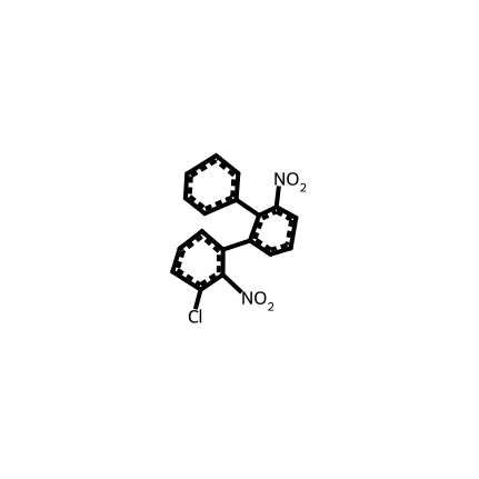 O=[N+]([O-])c1cccc(-c2cccc(Cl)c2[N+](=O)[O-])c1-c1ccccc1